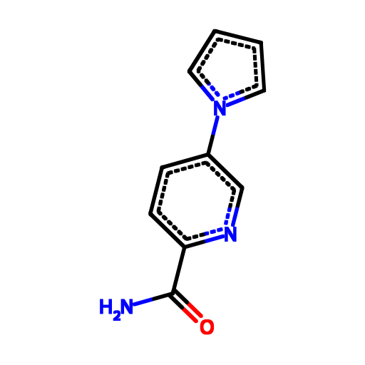 NC(=O)c1ccc(-n2cccc2)cn1